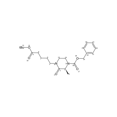 C[C@H]1C(=O)N(CCCCC(=O)OC(C)(C)C)CCN1C(=O)OCc1ccccc1